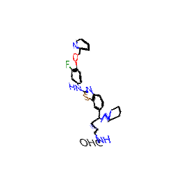 O=CNC/C=C/C(c1ccc2nc(Nc3ccc(OCc4ccccn4)c(F)c3)sc2c1)N1CCCCC1